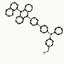 FCc1ccc(N(c2ccccc2)c2ccc(-c3ccc(-c4c5ccccc5c(-c5cccc6ccccc56)c5ccccc45)cc3)cc2)cc1